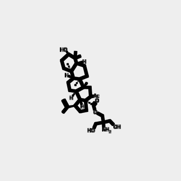 C=C(C)[C@@H]1CC[C@]2(C(=O)OCC(N)(CO)CO)C(C(C)=O)C[C@]3(C)[C@H](CC[C@@H]4[C@@]5(C)CC[C@H](O)C(C)(C)[C@@H]5CC[C@]43C)[C@@H]12